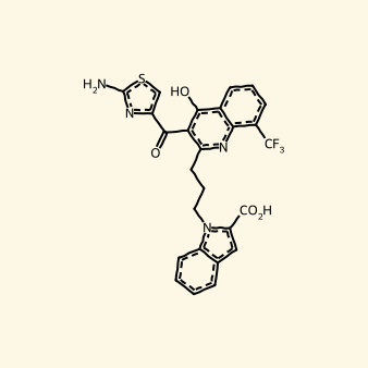 Nc1nc(C(=O)c2c(CCCn3c(C(=O)O)cc4ccccc43)nc3c(C(F)(F)F)cccc3c2O)cs1